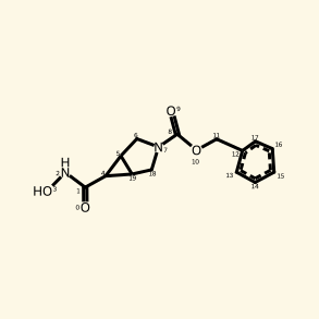 O=C(NO)C1C2CN(C(=O)OCc3ccccc3)CC21